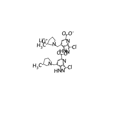 C[C@H]1CCCN(Cc2cc(C(=O)[O-])nc3c(Cl)n[nH]c23)C1.C[C@H]1CCCN(Cc2cc(C(=O)[O-])nc3c(Cl)n[nH]c23)C1.[Li+].[Li+]